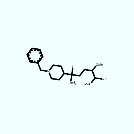 CCCC(OC)C(CC[C](F)([InH2])C1CCN(Cc2ccccc2)CC1)OC